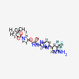 CC(C)(C)OC(=O)N1CC[C@H](OCC(=O)Nc2cn3nc(-c4cnc(N)c(C(F)(F)F)c4)ccc3n2)C1